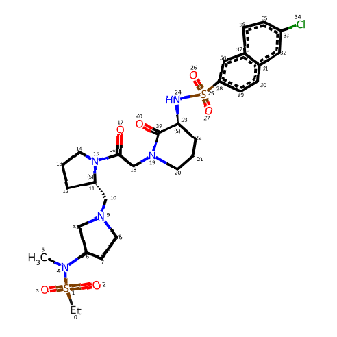 CCS(=O)(=O)N(C)C1CCN(C[C@@H]2CCCN2C(=O)CN2CCC[C@H](NS(=O)(=O)c3ccc4cc(Cl)ccc4c3)C2=O)C1